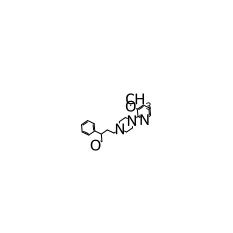 COc1cccnc1N1CCN(CCC(C=O)c2ccccc2)CC1